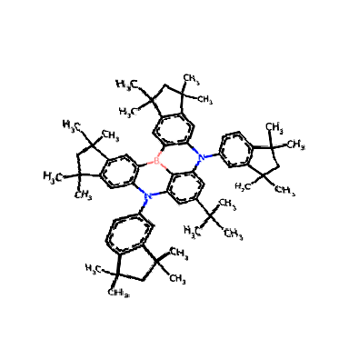 CC(C)(C)c1cc2c3c(c1)N(c1ccc4c(c1)C(C)(C)CC4(C)C)c1cc4c(cc1B3c1cc3c(cc1N2c1ccc2c(c1)C(C)(C)CC2(C)C)C(C)(C)CC3(C)C)C(C)(C)CC4(C)C